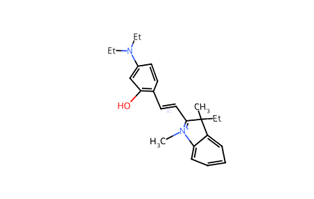 CCN(CC)c1ccc(/C=C/C2=[N+](C)c3ccccc3C2(C)CC)c(O)c1